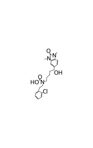 Cn1c(=O)n(C)c2cc(C(O)CCCCN(CCc3ccccc3Cl)C(=O)O)ccc21